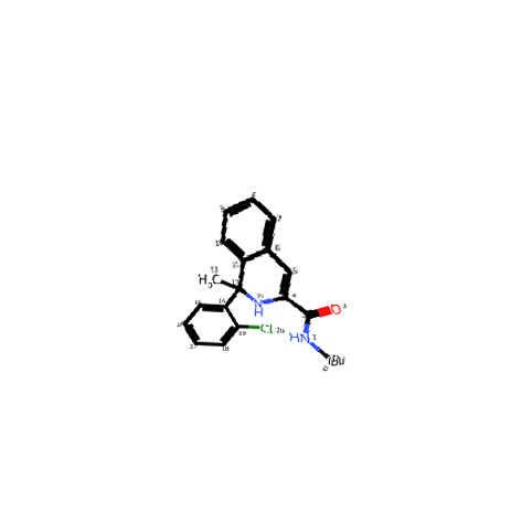 CCC(C)NC(=O)C1=Cc2ccccc2C(C)(c2ccccc2Cl)N1